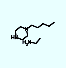 CCCCCN1CCNCC1.CCN